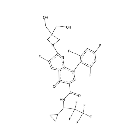 O=C(NC(C1CC1)C(F)(F)C(F)(F)F)c1cn(-c2c(F)cc(F)cc2F)c2nc(N3CC(CO)(CO)C3)c(F)cc2c1=O